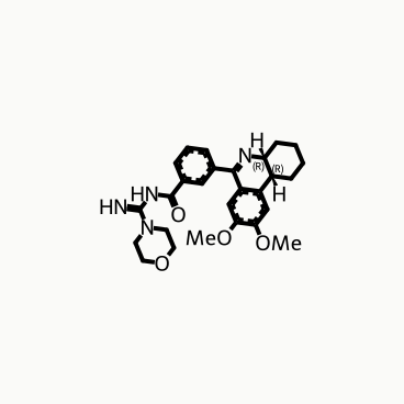 COc1cc2c(cc1OC)[C@H]1CCCC[C@H]1N=C2c1cccc(C(=O)NC(=N)N2CCOCC2)c1